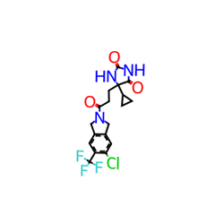 O=C1NC(=O)C(CCC(=O)N2Cc3cc(Cl)c(C(F)(F)F)cc3C2)(C2CC2)N1